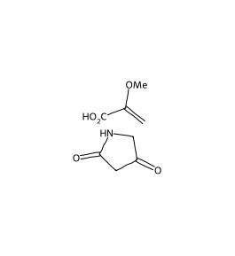 C=C(OC)C(=O)O.O=C1CNC(=O)C1